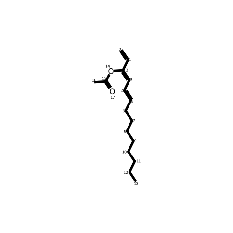 C=CC(=CC=CCCCCCCCC)OC(C)=O